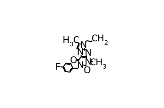 C=CCn1c(C)cn2c3c(=O)n(Cc4ccc(F)cc4)c(=O)n(C)c3nc12